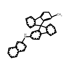 CC1C=C2C(=CC1)c1ccccc1C21c2ccccc2-c2ccc(Nc3ccc4ccccc4c3)cc21